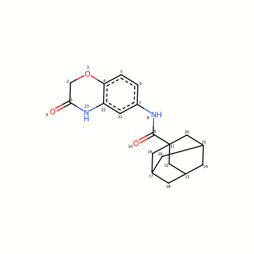 O=C1COc2ccc(NC(=O)C34CC5CC(CC(C5)C3)C4)cc2N1